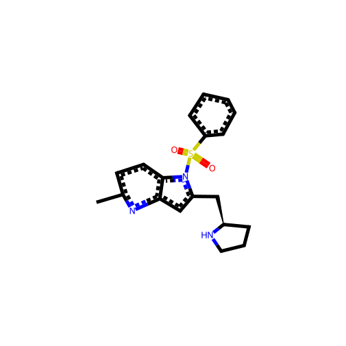 Cc1ccc2c(cc(C[C@H]3CCCN3)n2S(=O)(=O)c2ccccc2)n1